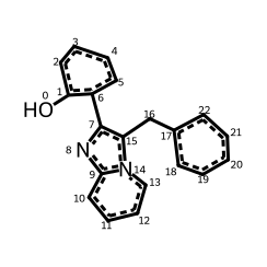 Oc1ccccc1-c1nc2ccccn2c1Cc1ccccc1